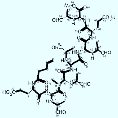 C=CCCC(=O)N[C@@H](CCC(=O)O)C(=O)N[C@@H](N[C@@H](C)C=O)C(=O)N(C)[C@@H](N[C@@H](C)C=O)C(=O)N[C@@H](N[C@@H](C)C=O)C(=O)N[C@@H](N[C@@H](C)C=O)C(=O)N[C@@H](CCC(=O)O)C(=O)N[C@@H](N[C@@H](C)C=O)C(=O)OC